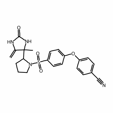 C=C1NC(=O)NC1(C)C1CCCN1S(=O)(=O)c1ccc(Oc2ccc(C#N)cc2)cc1